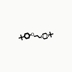 CC(C)(C)c1ccc(OCCCN2CCN(C(C)(C)C)CC2)cc1